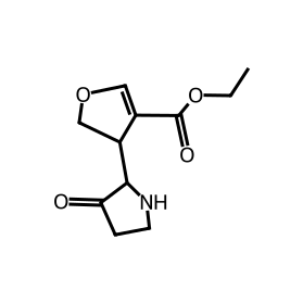 CCOC(=O)C1=COCC1C1NCCC1=O